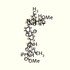 COC(=O)N[C@H](C(=O)N1CC(C)=C[C@H]1c1ncc(-c2ccc3c(=O)c4cc(-c5cnc([C@@H]6C=C(C)CN6C(=O)[C@@H](NC(=O)OC)C(C)C)[nH]5)ccc4oc3c2)[nH]1)C(C)C